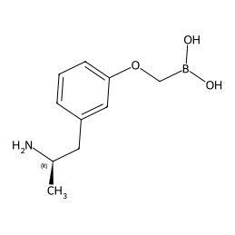 C[C@@H](N)Cc1cccc(OCB(O)O)c1